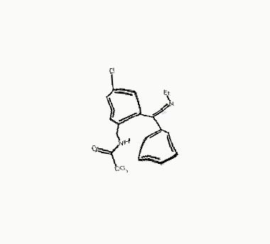 CC/N=C(/c1ccccc1)c1cc(Cl)ccc1NC(=O)C(Cl)(Cl)Cl